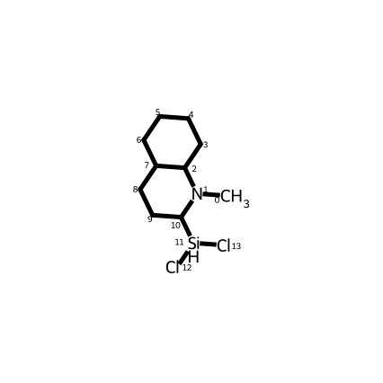 CN1C2CCCCC2CCC1[SiH](Cl)Cl